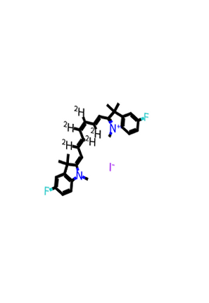 [2H]C(=CC1=[N+](C)c2ccc(F)cc2C1(C)C)C([2H])=C([2H])C([2H])=C([2H])C=C1N(C)c2ccc(F)cc2C1(C)C.[I-]